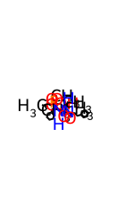 COP(=O)(OCC(C)C)C(O)[C@H](CC1CCCCC1)N[C@@H](CC(C)C)C(=O)NC(=O)CCc1ccccc1